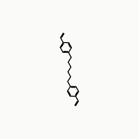 C=Cc1ccc(CCCCCCc2ccc(C=C)cc2)cc1